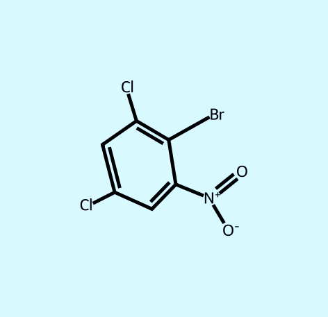 O=[N+]([O-])c1cc(Cl)cc(Cl)c1Br